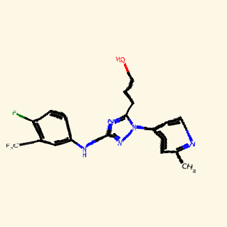 Cc1cc(-n2nc(Nc3ccc(F)c(C(F)(F)F)c3)nc2CCCO)ccn1